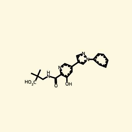 CC(C)(CNC(=O)c1ncc(-c2cnn(-c3ccccc3)c2)cc1O)C(=O)O